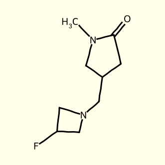 CN1CC(CN2CC(F)C2)CC1=O